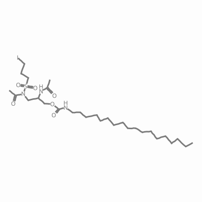 CCCCCCCCCCCCCCCCCCNC(=O)OCC(CN(C(C)=O)S(=O)(=O)CCCI)NC(C)=O